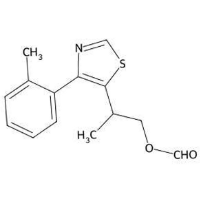 Cc1ccccc1-c1ncsc1C(C)COC=O